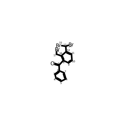 O=C(c1ccccc1)c1cccc(C(Br)Br)c1CBr